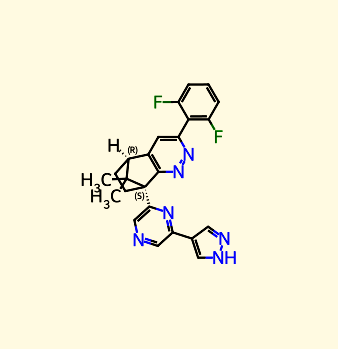 CC1(C)[C@H]2CC[C@]1(c1cncc(-c3cn[nH]c3)n1)c1nnc(-c3c(F)cccc3F)cc12